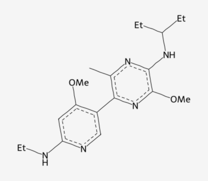 CCNc1cc(OC)c(-c2nc(OC)c(NC(CC)CC)nc2C)cn1